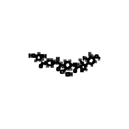 COc1ccc(-c2cnc(C(=O)Nc3ccc(C(=O)NC4C5CN(C(=O)[C@@H]6C[C@@H](O)CN6)CC54)c(Cl)c3)n2C)c(F)c1F.Cl